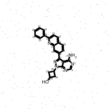 Nc1ncnc2c1c(-c1ccc3ccc(-c4ccccc4)nc3c1)nn2C1CC(O)C1